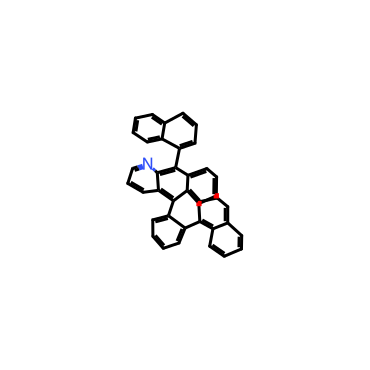 C1=c2ccccc2=C(c2ccccc2-c2c3ccccc3c(-c3cccc4ccccc34)c3ncccc23)CC1